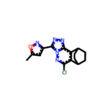 Cc1cc(-c2nnc3c4c(c(Cl)nn23)C2CCC4CC2)no1